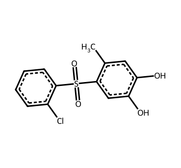 Cc1cc(O)c(O)cc1S(=O)(=O)c1ccccc1Cl